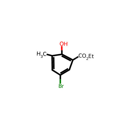 CCOC(=O)c1cc(Br)cc(C)c1O